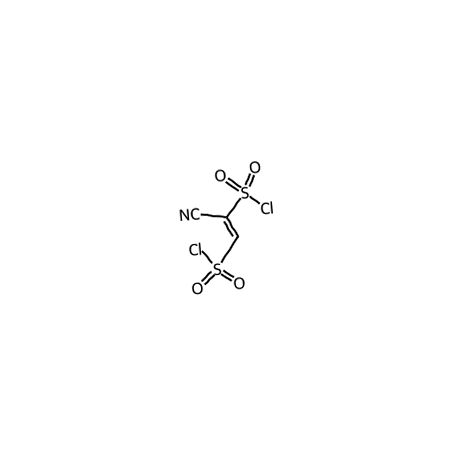 N#CC(=CS(=O)(=O)Cl)S(=O)(=O)Cl